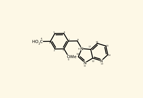 COc1cc(C(=O)O)ccc1Cn1cnc2ncccc21